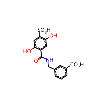 O=C(O)c1cccc(CNC(=O)c2cc(O)c(S(=O)(=O)O)cc2O)c1